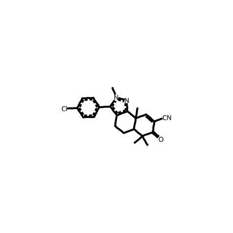 Cn1nc2c(c1-c1ccc(Cl)cc1)CCC1C(C)(C)C(=O)C(C#N)=CC21C